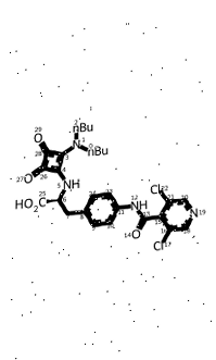 CCCCN(CCCC)c1c(N[C@@H](Cc2ccc(NC(=O)c3c(Cl)cncc3Cl)cc2)C(=O)O)c(=O)c1=O